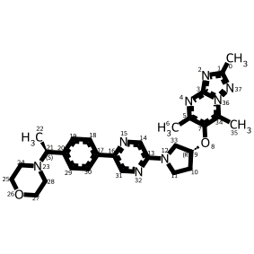 Cc1nc2nc(C)c(O[C@@H]3CCN(c4cnc(-c5ccc([C@H](C)N6CCOCC6)cc5)cn4)C3)c(C)n2n1